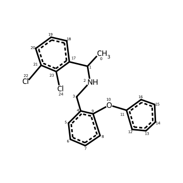 CC(NCc1ccccc1Oc1ccccc1)c1cccc(Cl)c1Cl